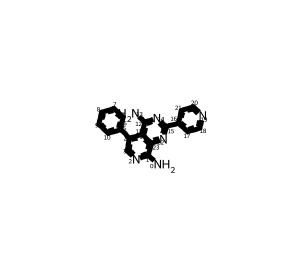 Nc1ncc(-c2ccccc2)c2c(N)nc(-c3ccncc3)nc12